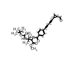 COC(=O)C(NC(=O)c1ccc(C#CC#CC2CC2C=O)cc1)C(C)(C)NC(=O)OC(C)(C)C